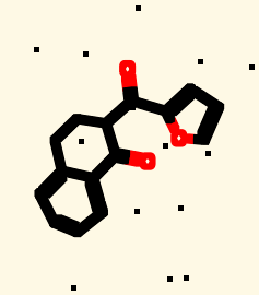 O=C(c1ccco1)C1CCc2ccccc2C1=O